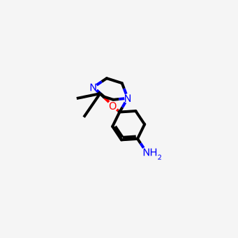 CC1(C)OC2(C=C=C(N)CC2)N2CCN1CC2